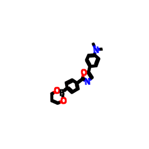 CN(C)c1ccc(-c2cnc(-c3ccc(B4OCCCO4)cc3)o2)cc1